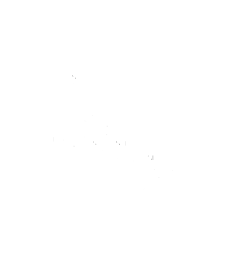 N#Cc1ccc(C(C(=O)O)N2C(=O)N/C(=C\c3c[nH]c4c(F)c(Cl)ccc34)C2=O)cc1F